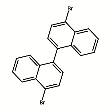 Brc1ccc(-c2ccc(Br)c3ccccc23)c2ccccc12